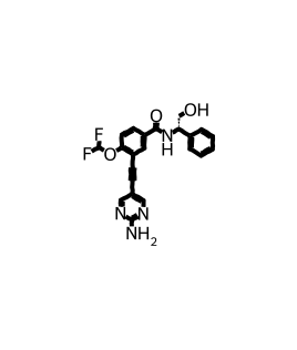 Nc1ncc(C#Cc2cc(C(=O)N[C@H](CO)c3ccccc3)ccc2OC(F)F)cn1